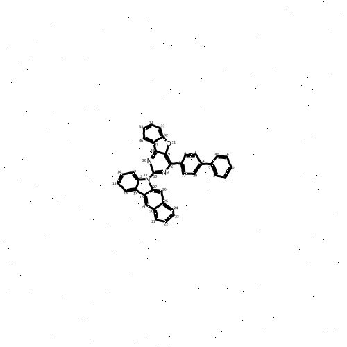 c1ccc(-c2ccc(-c3nc(-n4c5ccccc5c5cc6ccccc6cc54)nc4c3oc3ccccc34)cc2)cc1